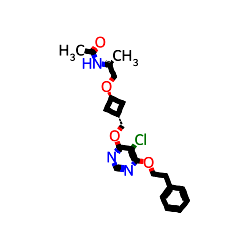 CC(=O)N[C@@H](C)CO[C@H]1C[C@H](COc2ncnc(OCCc3ccccc3)c2Cl)C1